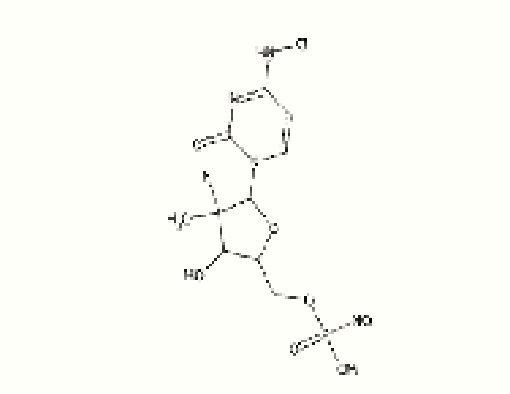 CC1(F)C(O)C(COP(=O)(O)N=O)OC1n1ccc(NCl)nc1=O